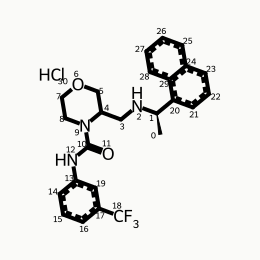 C[C@@H](NCC1COCCN1C(=O)Nc1cccc(C(F)(F)F)c1)c1cccc2ccccc12.Cl